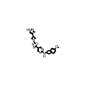 COc1ccc2c(c1)CC(Nc1ncc(-c3nnc(N4CC(c5c[nH]nn5)C4)o3)cn1)C2